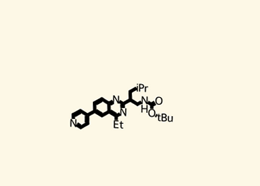 CCc1nc(C(CNC(=O)OC(C)(C)C)CC(C)C)nc2ccc(-c3ccncc3)cc12